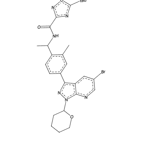 Cc1cc(-c2nn(C3CCCCO3)c3ncc(Br)cc23)ccc1C(C)NC(=O)c1noc(C(C)(C)C)n1